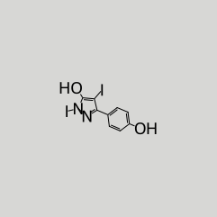 Oc1ccc(-c2nn(I)c(O)c2I)cc1